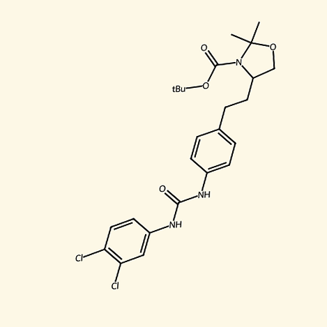 CC(C)(C)OC(=O)N1C(CCc2ccc(NC(=O)Nc3ccc(Cl)c(Cl)c3)cc2)COC1(C)C